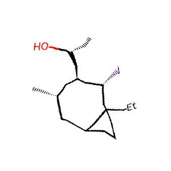 CCC12CC1C[C@H](C)[C@@H]([C@@H](C)O)[C@@H]2I